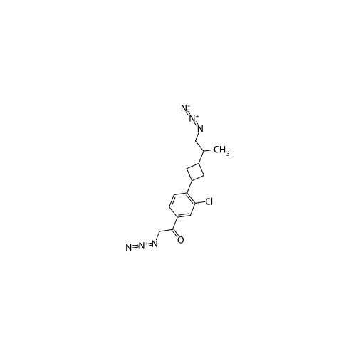 CC(CN=[N+]=[N-])C1CC(c2ccc(C(=O)CN=[N+]=[N-])cc2Cl)C1